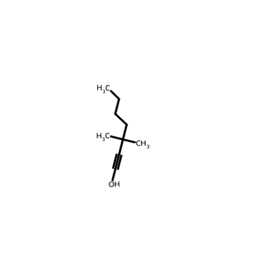 CCCCC(C)(C)C#CO